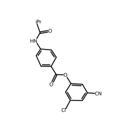 CC(C)C(=O)Nc1ccc(C(=O)Oc2cc(Cl)cc(C#N)c2)cc1